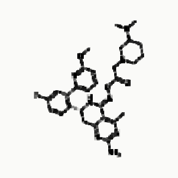 COc1cccc(-c2cc(F)ccc2[C@H]2Cc3nc(N)nc(C)c3C(=NOC(=O)CN3CCCC(N(C)C)C3)N2)n1